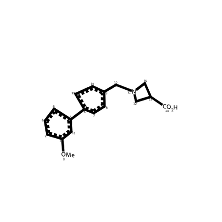 COc1cccc(-c2ccc(CN3CC(C(=O)O)C3)cc2)c1